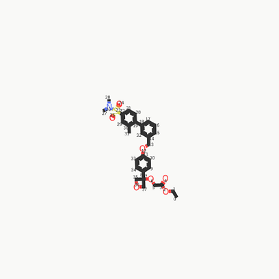 CCOC(=O)COC1(c2ccc(OCc3cccc(-c4ccc(S(=O)(=O)N(C)C)cc4C)c3)cc2)COC1